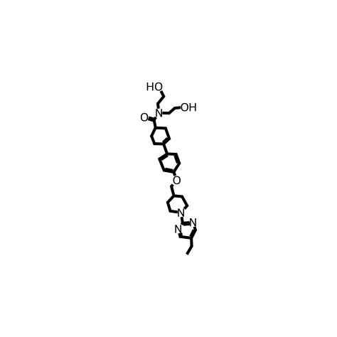 CCc1cnc(N2CCC(COc3ccc(C4=CCC(C(=O)N(CCO)CCO)CC4)cc3)CC2)nc1